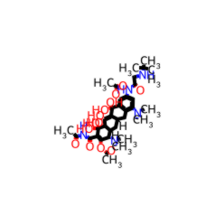 CC(=O)NC(=O)C1=C(OC(C)=O)[C@@H](N(C)C)[C@@H]2C[C@@H]3Cc4c(N(C)C)cc(NC(=O)CNC(C)(C)C)c(OC(C)=O)c4C(O)(O)C3=C(O)[C@]2(O)C1(O)O